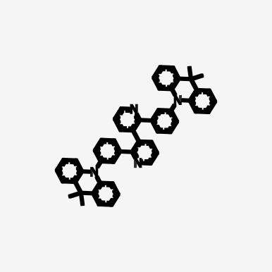 CC1(C)c2ccccc2N(c2cccc(-c3ncccc3-c3cccnc3-c3cccc(N4c5ccccc5C(C)(C)c5ccccc54)c3)c2)c2ccccc21